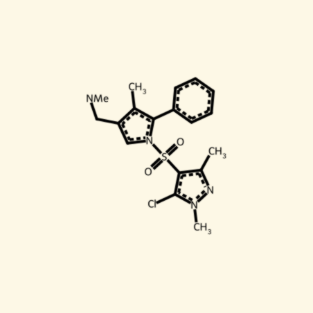 CNCc1cn(S(=O)(=O)c2c(C)nn(C)c2Cl)c(-c2ccccc2)c1C